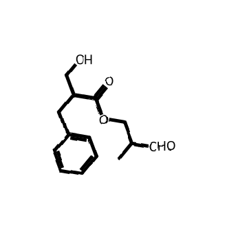 CC(C=O)COC(=O)C(CO)Cc1ccccc1